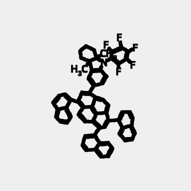 CC12CCCCC1(C)N(c1c(F)c(F)c(F)c(F)c1F)c1ccc(-c3cc(-c4cccc5ccccc45)c4ccc5c(-c6cccc7ccccc67)cc(-c6cccc7ccccc67)c6ccc3c4c65)cc12